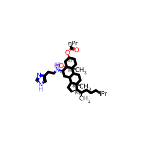 CCCC(=O)O[C@H]1CC[C@]2(C)C3CC[C@@]4(C)C(CC[C@@H]4[C@H](C)CCCC(C)C)C3C[C@@H](NCCc3c[nH]cn3)[C@@]2(O)C1